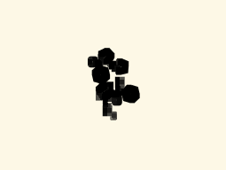 Cc1ncc(-c2ccc(C(=O)N3CCC[C@@H]3CN3CCCC3)cc2)nc1C(=O)Nc1ccccc1